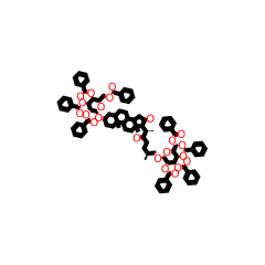 C[C@@H](CCC(=O)[C@@H](C)C1C(=O)CC2C3CCC4CC(O[C@@H]5OC(COC(=O)c6ccccc6)[C@H](OC(=O)c6ccccc6)[C@H](OC(=O)c6ccccc6)C5OC(=O)c5ccccc5)CCC4(C)C3CCC21C)CO[C@@H]1OC(COC(=O)c2ccccc2)[C@@H](OC(=O)c2ccccc2)[C@H](OC(=O)c2ccccc2)C1OC(=O)c1ccccc1